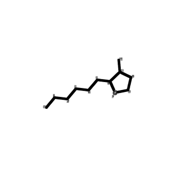 CCCCCCC1OCCC1C